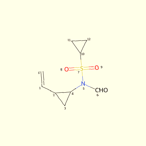 C=CC1CC1N(C=O)S(=O)(=O)C1CC1